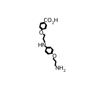 NCCCOc1ccc(NCCCOc2ccc(C(=O)O)cc2)cc1